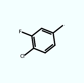 [CH2]c1ccc(Cl)c(F)c1